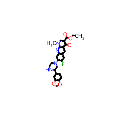 CCOC(=O)c1cn(C)c2nc3cc(N4CCNC(c5ccc6c(c5)OCO6)C4)c(F)cc3cc2c1=O